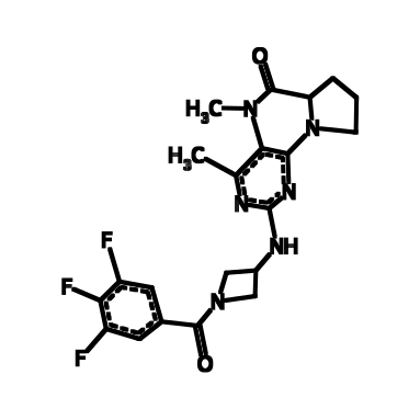 Cc1nc(NC2CN(C(=O)c3cc(F)c(F)c(F)c3)C2)nc2c1N(C)C(=O)C1CCCN21